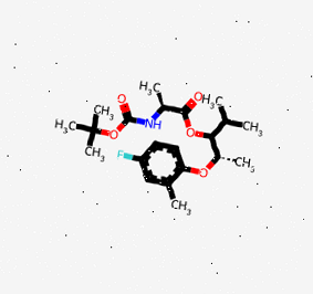 Cc1cc(F)ccc1O[C@@H](C)C(OC(=O)[C@H](C)NC(=O)OC(C)(C)C)C(C)C